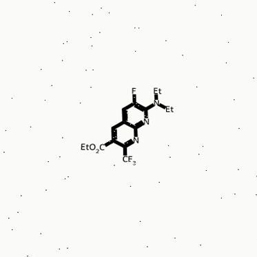 CCOC(=O)c1cc2cc(F)c(N(CC)CC)nc2nc1C(F)(F)F